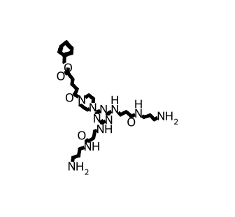 NCCCNC(=O)CCNc1nc(NCCC(=O)NCCCN)nc(N2CCN(C(=O)CCCC(=O)OCc3ccccc3)CC2)n1